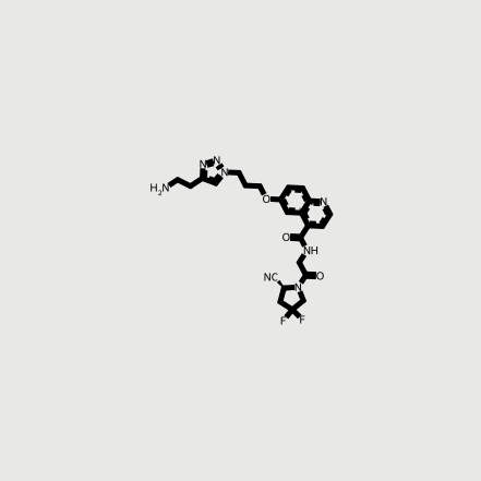 N#C[C@@H]1CC(F)(F)CN1C(=O)CNC(=O)c1ccnc2ccc(OCCCn3cc(CCN)nn3)cc12